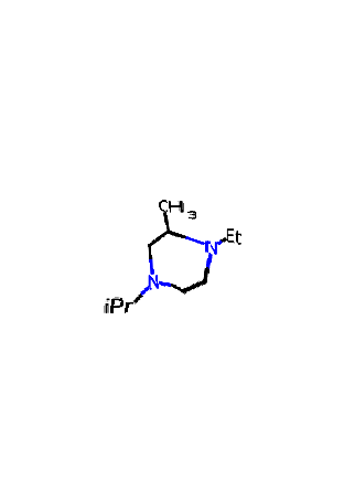 CCN1CCN(C(C)C)CC1C